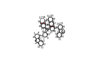 c1cc(-c2cccc3sc4ccccc4c23)cc(N(c2ccc(-c3cccc4oc5ccccc5c34)cc2)c2ccccc2-c2cccc3cccc(C4CCCCC4)c23)c1